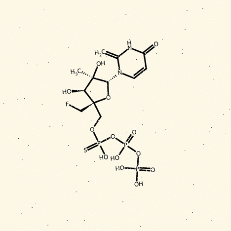 C=C1NC(=O)C=CN1[C@@H]1O[C@](CF)(COP(O)(=S)OP(=O)(O)OP(=O)(O)O)[C@@H](O)[C@@]1(C)O